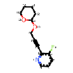 Fc1cccnc1C#CCOC1CCCCO1